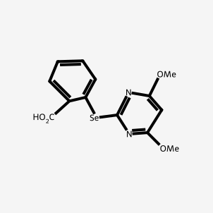 COc1cc(OC)nc([Se]c2ccccc2C(=O)O)n1